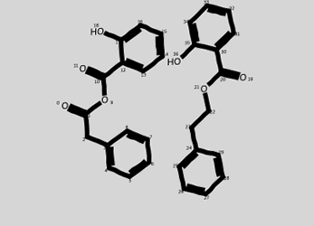 O=C(Cc1ccccc1)OC(=O)c1ccccc1O.O=C(OCCc1ccccc1)c1ccccc1O